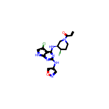 C=CC(=O)N1CC[C@@H](F)[C@@H](Nc2nc(Nc3cnoc3)nc3[nH]cc(Cl)c23)C1